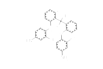 Nc1ccc(Oc2ccccc2C(c2ccccc2Oc2ccc(N)cc2C(F)(F)F)(C(F)(F)F)C(F)(F)F)c(C(F)(F)F)c1